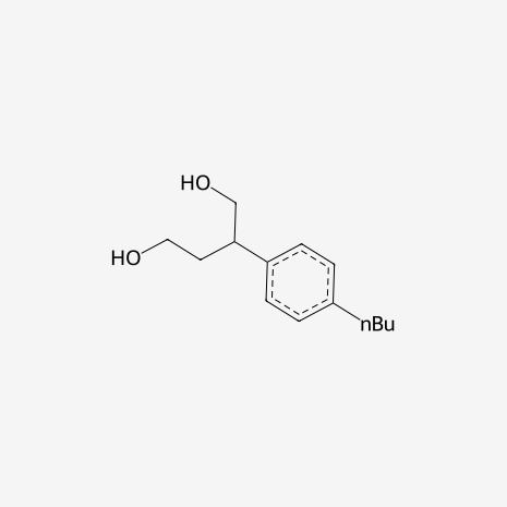 CCCCc1ccc(C(CO)CCO)cc1